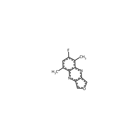 Cc1cc(F)c(C)c2nc3cocc3nc12